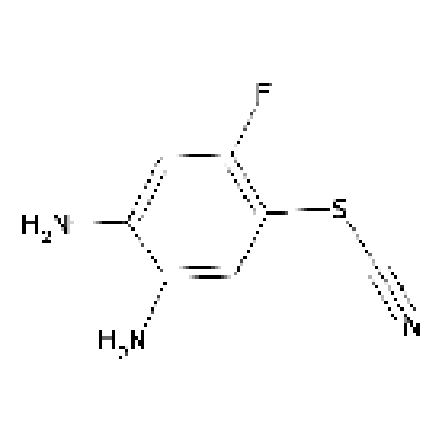 N#CSc1cc(N)c(N)cc1F